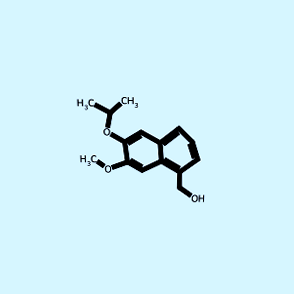 COc1cc2c(CO)cccc2cc1OC(C)C